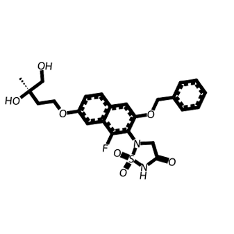 C[C@](O)(CO)CCOc1ccc2cc(OCc3ccccc3)c(N3CC(=O)NS3(=O)=O)c(F)c2c1